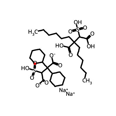 CCCCCCC(CCCCCC)(C(=O)O)C(C(=O)O)S(=O)(=O)O.O=C([O-])C(C(C(=O)[O-])(C1CCCCC1)C1CCCCC1)S(=O)(=O)O.[Na+].[Na+]